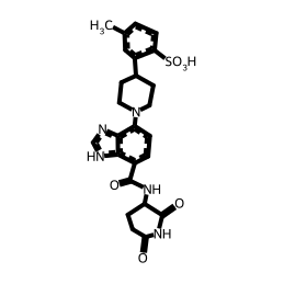 Cc1ccc(S(=O)(=O)O)c(C2CCN(c3ccc(C(=O)NC4CCC(=O)NC4=O)c4[nH]cnc34)CC2)c1